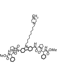 COC(=O)NC(C(=O)N1CCC[C@H]1C(=O)Nc1ccc2c3ccc(NC(=O)[C@@H]4CCCN4C(=O)C(NC(=O)OC)c4ccccc4)cc3n(CCCCCCCCCCN3CCN(C)CC3)c2c1)c1ccccc1